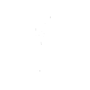 CCCCCOc1ccc(C#CC2CCC([C@H]3CC[C@H](CCC)CC3)CC2)c(F)c1F